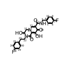 O=C(NCc1ccc(F)cc1)c1cn2c(c(O)c1=O)C(=O)N(CCc1ccc(F)cc1)C(O)C2